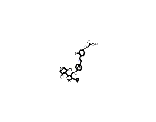 O=C(O)COc1ccc(/C=C/C23CCC(OCc4c(-c5c(Cl)cncc5Cl)noc4C4CC4)(CC2)CC3)c(F)c1